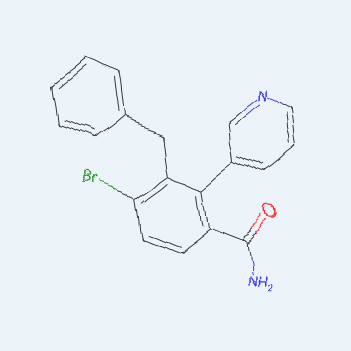 NC(=O)c1ccc(Br)c(Cc2ccccc2)c1-c1cccnc1